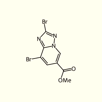 COC(=O)c1cc(Br)c2nc(Br)nn2c1